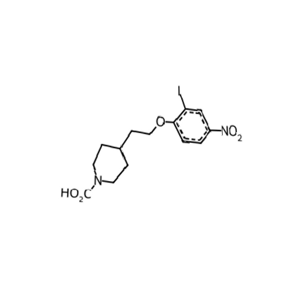 O=C(O)N1CCC(CCOc2ccc([N+](=O)[O-])cc2I)CC1